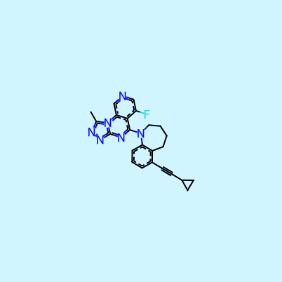 Cc1nnc2nc(N3CCCCc4c(C#CC5CC5)cccc43)c3c(F)cncc3n12